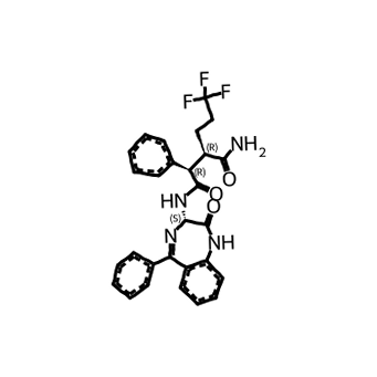 NC(=O)[C@H](CCC(F)(F)F)[C@@H](C(=O)N[C@H]1N=C(c2ccccc2)c2ccccc2NC1=O)c1ccccc1